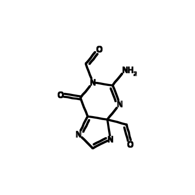 NC1=NC2(C=O)N=CN=C2C(=O)N1C=O